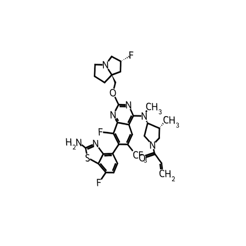 C=CC(=O)N1C[C@@H](C)[C@@H](N(C)c2nc(OC[C@@]34CCCN3C[C@H](F)C4)nc3c(F)c(-c4ccc(F)c5sc(N)nc45)c(C(F)(F)F)cc23)C1